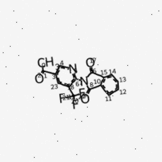 CC(=O)c1cnc(N2C(=O)c3ccccc3C2=O)c(C(F)(F)F)c1